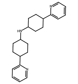 c1ccc(C2CCC(NC3CCC(c4ccccn4)CC3)CC2)nc1